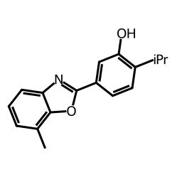 Cc1cccc2nc(-c3ccc(C(C)C)c(O)c3)oc12